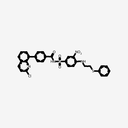 O=C(NS(=O)(=O)c1ccc(NCCSc2ccccc2)c([N+](=O)[O-])c1)c1ccc(-c2cccc3ccc(Cl)nc23)cc1